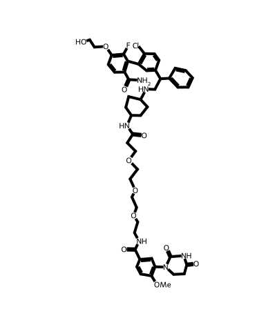 COc1ccc(C(=O)NCCOCCOCCOCCC(=O)NC2CCC(NCC(c3ccccc3)c3ccc(Cl)c(-c4c(C(N)=O)ccc(OCCO)c4F)c3)CC2)cc1N1CCC(=O)NC1=O